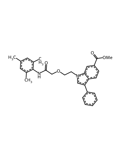 COC(=O)c1ccc2c(-c3ccccc3)cn(CCOCC(=O)Nc3c(C)cc(C)cc3C)c2c1